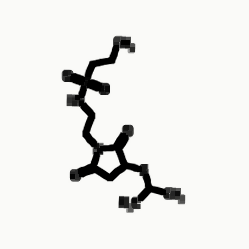 CCCS(=O)(=O)NCCN1C(=O)CC(SC(C)C)C1=O